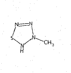 CN1N=NSN1